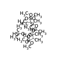 CO[Si](OC)(OC)C(C)[Si](C)(C)O[SiH](C)O[Si](C)(C)C(C)[Si](OC)(OC)OCO[SiH](C)C